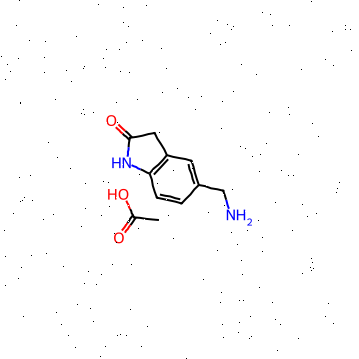 CC(=O)O.NCc1ccc2c(c1)CC(=O)N2